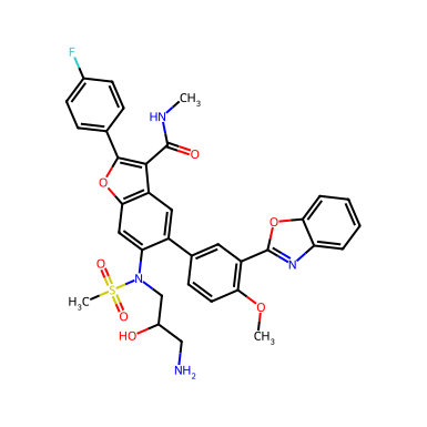 CNC(=O)c1c(-c2ccc(F)cc2)oc2cc(N(CC(O)CN)S(C)(=O)=O)c(-c3ccc(OC)c(-c4nc5ccccc5o4)c3)cc12